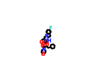 O=C(NC(CO)CN1CCc2cc(F)ccc21)OC(CC1CCCCC1)C(=O)N1CCOCC1